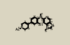 CCc1cc(C2=CCN(C(C)=O)CC2)ccc1N(C)c1cc2c(cn1)ncn2C